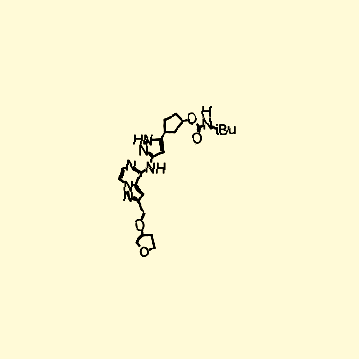 CCC(C)NC(=O)O[C@@H]1CC[C@H](c2cc(Nc3nccn4nc(COC5CCOC5)cc34)n[nH]2)C1